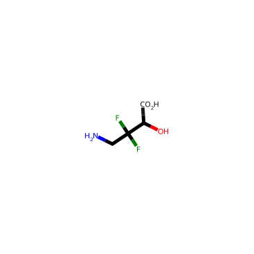 NCC(F)(F)C(O)C(=O)O